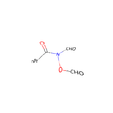 CCCC(=O)N(C=O)OC=O